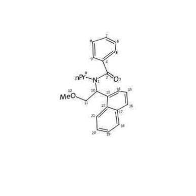 CCCN(C(=O)c1ccccc1)C(COC)c1cccc2ccccc12